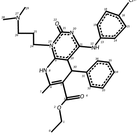 CCOC(=O)C1=C(C)Nc2c(c(Nc3ccc(Cl)cc3)nc(=O)n2CCCN(C)C)C1c1ccccc1